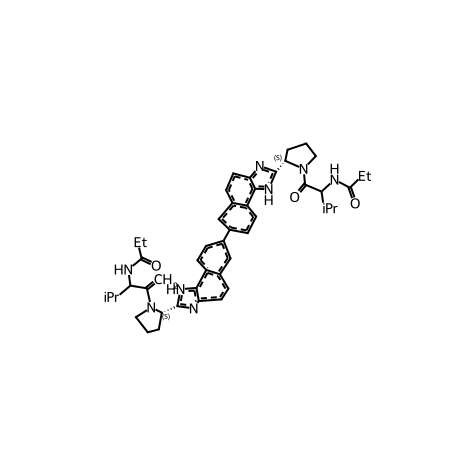 C=C(C(NC(=O)CC)C(C)C)N1CCC[C@H]1c1nc2ccc3cc(-c4ccc5c(ccc6nc([C@@H]7CCCN7C(=O)C(NC(=O)CC)C(C)C)[nH]c65)c4)ccc3c2[nH]1